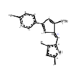 COC1=CC(c2ccc(F)nc2)=N/C1=C\c1[nH]c(C)cc1C